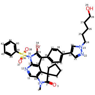 CN1C(=O)C2(CCCC2)c2c1cnc1c2c(-c2ccc(-c3cnn(CCCCCO)c3)cc2)c(Br)n1S(=O)(=O)c1ccccc1